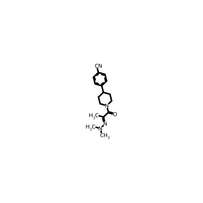 C/C(=N\N(C)C)C(=O)N1CCC(c2ccc(C#N)cc2)CC1